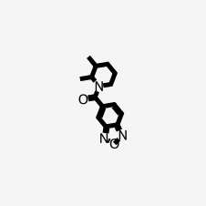 CC1CCCN(C(=O)c2ccc3nonc3c2)C1C